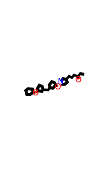 C=CC(=O)CCCc1ccc(Oc2cccc(Cc3cccc(Oc4ccccc4)c3)c2)nc1